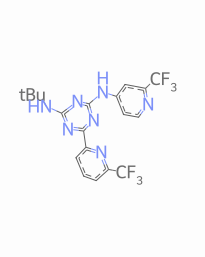 CC(C)(C)Nc1nc(Nc2ccnc(C(F)(F)F)c2)nc(-c2cccc(C(F)(F)F)n2)n1